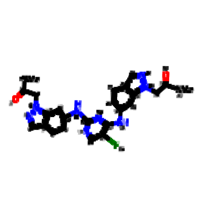 CNC(=O)Cn1ncc2ccc(Nc3ncc(F)c(Nc4ccc5cnn(CC(=O)NC)c5c4)n3)cc21